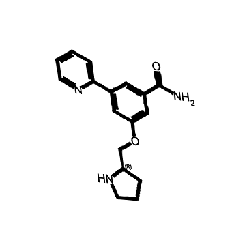 NC(=O)c1cc(OC[C@H]2CCCN2)cc(-c2ccccn2)c1